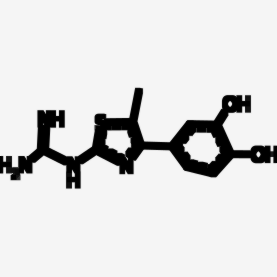 Cc1sc(NC(=N)N)nc1-c1ccc(O)c(O)c1